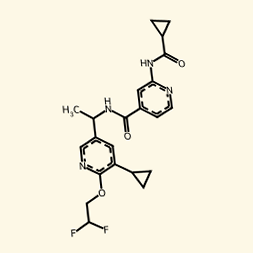 CC(NC(=O)c1ccnc(NC(=O)C2CC2)c1)c1cnc(OCC(F)F)c(C2CC2)c1